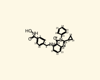 O=C(NO)c1ccc(CNc2cccc3nc(C4CC4)n(-c4ccccc4)c(=O)c23)cc1